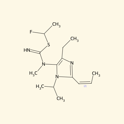 C/C=C\c1nc(CC)c(N(C)C(=N)SC(C)F)n1C(C)C